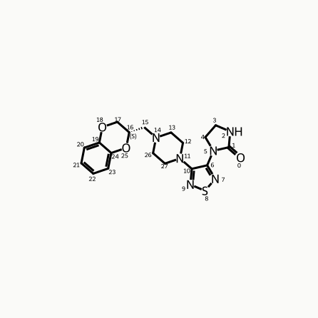 O=C1NCCN1c1nsnc1N1CCN(C[C@H]2COc3ccccc3O2)CC1